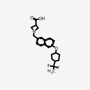 CC(F)(F)C1CCC(Oc2ccc3cc(CN4CC(C(=O)O)C4)ccc3c2)CC1